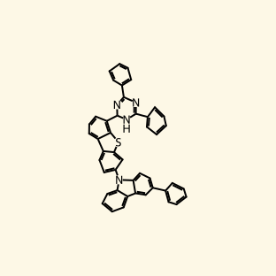 c1ccc(C2=NC(c3cccc4c3sc3cc(-n5c6ccccc6c6cc(-c7ccccc7)ccc65)ccc34)NC(c3ccccc3)=N2)cc1